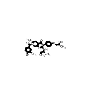 C=C[C@H](C)Nc1nc2c(c(=O)n1-c1ccc(OC[C@H](C)O)cc1)C[C@@H](C)N(C(=O)c1ccc(Br)c(C(F)(F)F)c1)C2